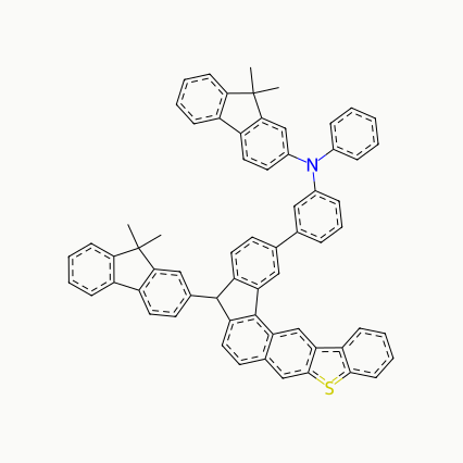 CC1(C)c2ccccc2-c2ccc(C3c4ccc(-c5cccc(N(c6ccccc6)c6ccc7c(c6)C(C)(C)c6ccccc6-7)c5)cc4-c4c3ccc3cc5sc6ccccc6c5cc43)cc21